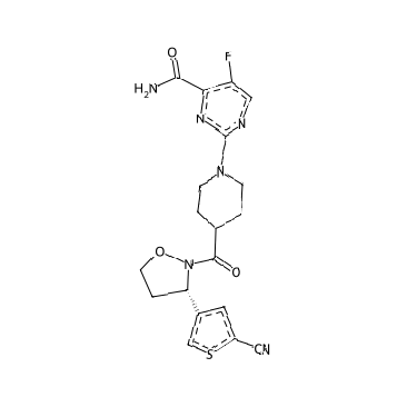 N#Cc1cc([C@@H]2CCON2C(=O)C2CCN(c3ncc(F)c(C(N)=O)n3)CC2)cs1